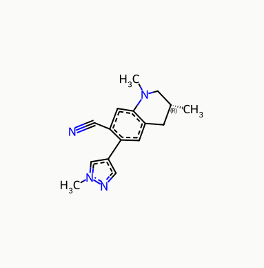 C[C@@H]1Cc2cc(-c3cnn(C)c3)c(C#N)cc2N(C)C1